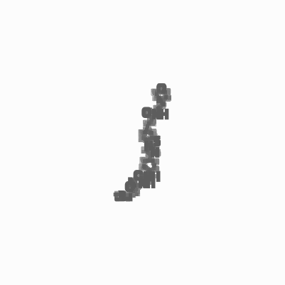 CC(C)(C)c1cc(NC(=O)Nc2ccc(-c3cn4c(n3)sc3cc(CCC(=O)NCCN5CCOCC5)ccc34)cc2)no1